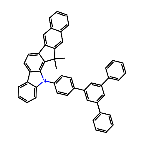 CC1(C)c2cc3ccccc3cc2-c2ccc3c4ccccc4n(-c4ccc(-c5cc(-c6ccccc6)cc(-c6ccccc6)c5)cc4)c3c21